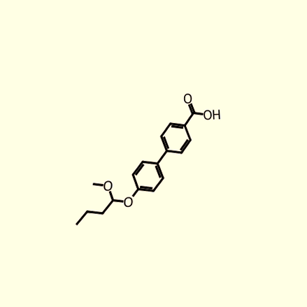 CCCC(OC)Oc1ccc(-c2ccc(C(=O)O)cc2)cc1